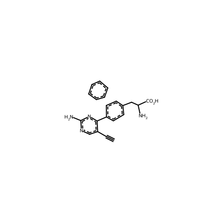 C#Cc1cnc(N)nc1-c1ccc(CC(N)C(=O)O)cc1.c1ccccc1